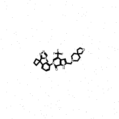 Cn1cnnc1C1(c2cccc(-n3cc(C(F)(F)F)c4cc(CN5CCC6(CCOC6)CC5)[nH]c4c3=O)c2)CCC1